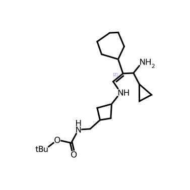 CC(C)(C)OC(=O)NCC1CC(N/C=C(/C2CCCCC2)C(N)C2CC2)C1